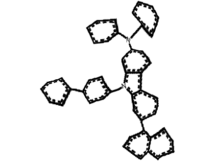 c1ccc(-c2ccc(-n3c4cc(-c5cccc6ccccc56)ccc4c4ccc(N(c5ccccc5)c5ccccc5)cc43)cc2)cc1